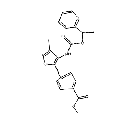 COC(=O)c1ccc(-c2onc(C)c2NC(=O)O[C@H](C)c2ccccc2)cc1